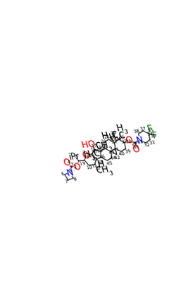 CC(C)C(OC(=O)N1CCC1)C1C[C@@H](C)[C@H]2C(O1)[C@H](O)[C@@]1(C)C3CC[C@H]4C(C)(C)C(OC(=O)N5CCC(F)(F)CC5)CCC45CC35CCC21C